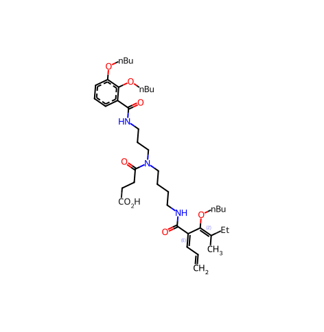 C=C/C=C(C(=O)NCCCCN(CCCNC(=O)c1cccc(OCCCC)c1OCCCC)C(=O)CCC(=O)O)\C(OCCCC)=C(/C)CC